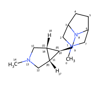 CN1CC2CCC(C1)N2C[C@H]1[C@@H]2CN(C)C[C@@H]21